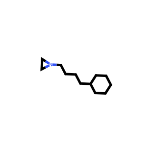 C1CCC(CCCCN2CC2)CC1